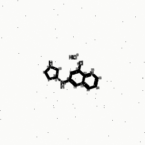 Cl.Clc1cc(N[C@@H]2CCNC2)cc2cccnc12